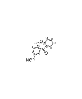 N#CCc1ccc2c(c1)C(=O)c1ccccc1OC2